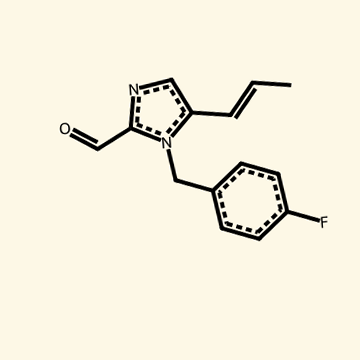 CC=Cc1cnc(C=O)n1Cc1ccc(F)cc1